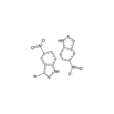 O=[N+]([O-])c1ccc2[nH]nc(Br)c2c1.O=[N+]([O-])c1ccc2[nH]ncc2c1